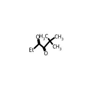 CCC(=O)C(=O)C(C)(C)C